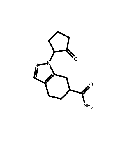 NC(=O)C1CCc2cnn(C3CCCC3=O)c2C1